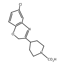 O=C(O)N1CCC(C2=Nc3cc(Cl)ccc3OC2)CC1